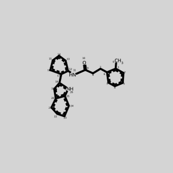 Cc1ccccc1CCC(=O)Nc1ccccc1-c1cc2ccccc2[nH]1